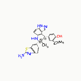 COc1cc([C@H]2c3c(ccc4[nH]ncc34)N[C@@H](c3ccc4nc(N)sc4c3)[C@@H]2C)ccc1O